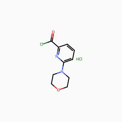 Cl.O=C(Cl)c1cccc(N2CCOCC2)n1